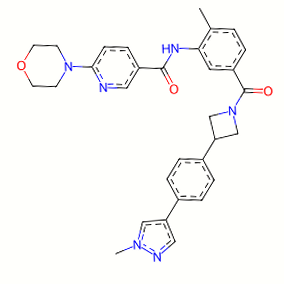 Cc1ccc(C(=O)N2CC(c3ccc(-c4cnn(C)c4)cc3)C2)cc1NC(=O)c1ccc(N2CCOCC2)nc1